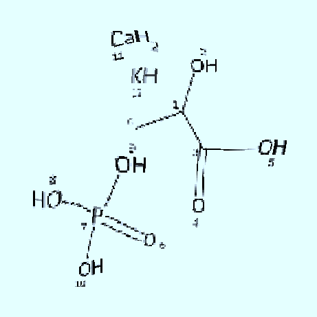 CC(O)C(=O)O.O=P(O)(O)O.[CaH2].[KH]